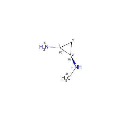 CN[C@@H]1C[C@H]1N